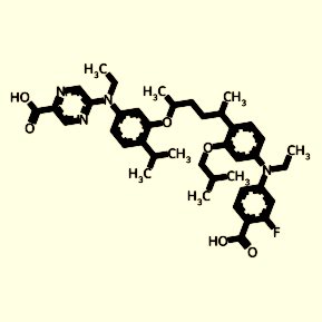 CCN(c1ccc(C(=O)O)c(F)c1)c1ccc(C(C)CCC(C)Oc2cc(N(CC)c3cnc(C(=O)O)cn3)ccc2C(C)C)c(OCC(C)C)c1